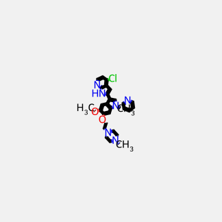 COc1cc2c(-c3cc4c(Cl)ccnc4[nH]3)cn(C)c2cc1OCCN1CCN(C)CC1.c1ccncc1